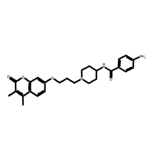 Cc1c(C)c2ccc(OCCCN3CCC(NC(=O)c4ccc(N)cc4)CC3)cc2oc1=O